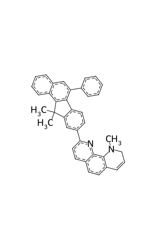 CN1CC=Cc2ccc3ccc(-c4ccc5c(c4)C(C)(C)c4c-5c(-c5ccccc5)cc5ccccc45)nc3c21